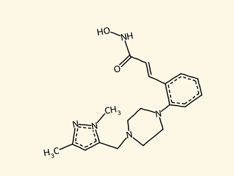 Cc1cc(CN2CCN(c3ccccc3C=CC(=O)NO)CC2)n(C)n1